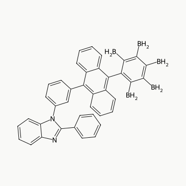 Bc1c(B)c(B)c(-c2c3ccccc3c(-c3cccc(-n4c(-c5ccccc5)nc5ccccc54)c3)c3ccccc23)c(B)c1B